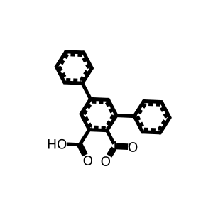 O=C(O)c1cc(-c2ccccc2)cc(-c2ccccc2)c1I(=O)=O